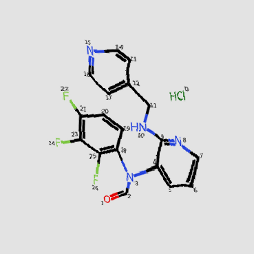 Cl.O=CN(c1cccnc1NCc1ccncc1)c1ccc(F)c(F)c1F